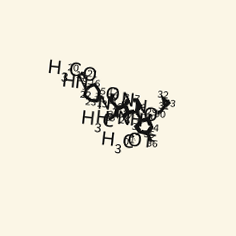 COc1cc(-c2ncnc3c(C(=O)NC4CCC(NC(C)=O)CC4)c(C)[nH]c23)c(OCC2CC2)cc1F